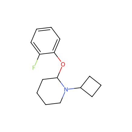 Fc1ccccc1OC1CCCCN1C1CCC1